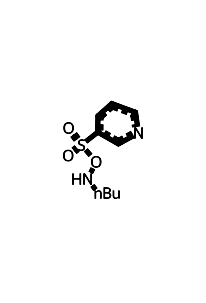 CCCCNOS(=O)(=O)c1cccnc1